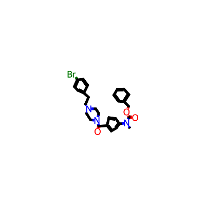 CN(C(=O)OCc1ccccc1)c1ccc(C(=O)N2CCN(CCc3ccc(Br)cc3)CC2)cc1